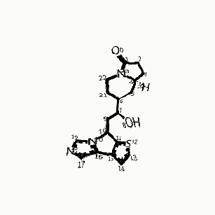 O=C1CC[C@H]2C[C@@H]([C@@H](O)CC3c4sccc4-c4cncn43)CCN12